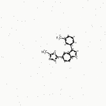 Cc1nnc(-c2ccc3occ(-c4cccc(C(F)(F)F)c4)c3c2)o1